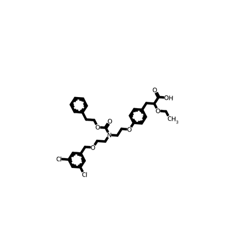 CCOC(Cc1ccc(OCCN(CCOCc2cc(Cl)cc(Cl)c2)C(=O)OCCc2ccccc2)cc1)C(=O)O